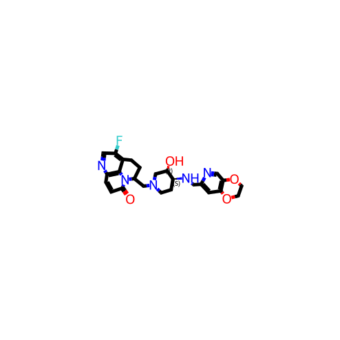 O=c1ccc2ncc(F)c3c2n1C(CN1CC[C@H](NCc2cc4c(cn2)OCCO4)[C@H](O)C1)CC3